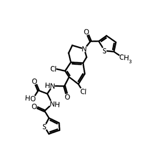 Cc1ccc(C(=O)N2CCc3c(cc(Cl)c(C(=O)NC(NC(=O)c4cccs4)C(=O)O)c3Cl)C2)s1